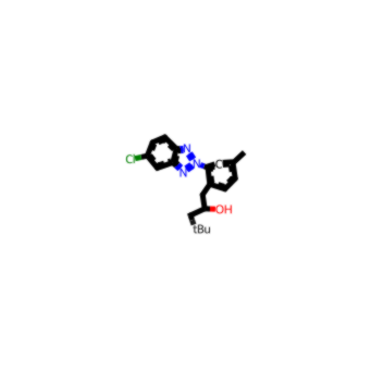 Cc1ccc(CC(O)CC(C)(C)C)c(-n2nc3ccc(Cl)cc3n2)c1